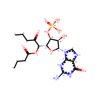 CCCC(=O)OC(C(=O)CCC)[C@H]1O[C@@H](n2cnc3c(=O)[nH]c(N)nc32)[C@H](O)[C@@H]1OP(=O)(O)O